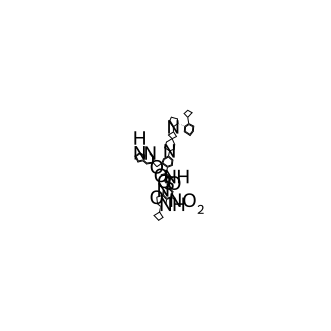 O=C(NS(=O)(=O)c1cc([N+](=O)[O-])c2c(n1)OC[C@H](C1CCC1)N2)c1ccc(N2CCC3(CC2)CC(N2CCC[C@@H]2c2ccccc2C2CCC2)C3)cc1Oc1cnc2[nH]ccc2c1